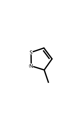 CC1C=CS[N]1